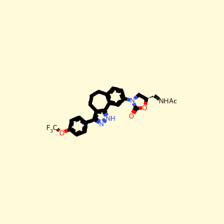 CC(=O)NC[C@H]1CN(c2ccc3c(c2)-c2[nH]nc(-c4ccc(OC(F)(F)F)cc4)c2CCC3)C(=O)O1